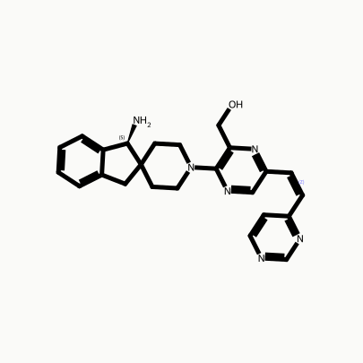 N[C@@H]1c2ccccc2CC12CCN(c1ncc(/C=C\c3ccncn3)nc1CO)CC2